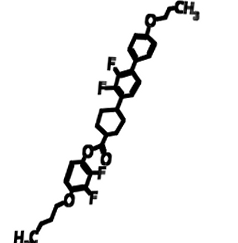 CCCCOc1ccc(OC(=O)C2CCC(c3ccc(-c4ccc(OCCC)cc4)c(F)c3F)CC2)c(F)c1F